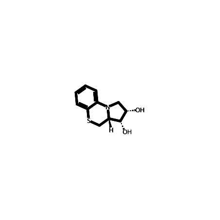 O[C@H]1[C@@H](O)CN2c3ccccc3SC[C@@H]12